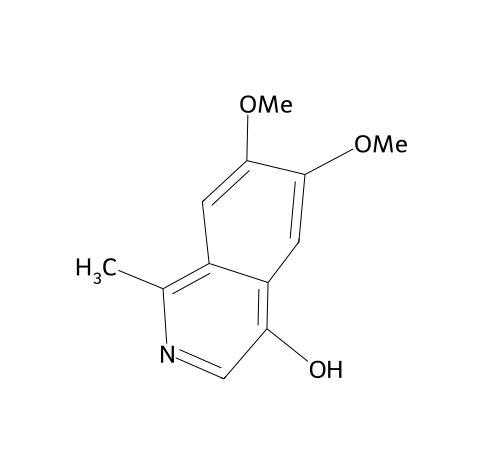 COc1cc2c(O)cnc(C)c2cc1OC